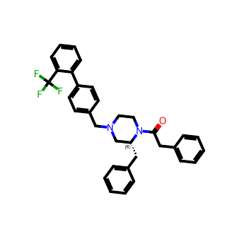 O=C(Cc1ccccc1)N1CCN(Cc2ccc(-c3ccccc3C(F)(F)F)cc2)C[C@H]1Cc1ccccc1